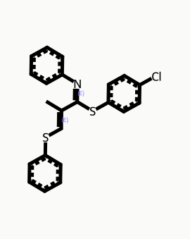 CC(=C\Sc1ccccc1)/C(=N\c1ccccc1)Sc1ccc(Cl)cc1